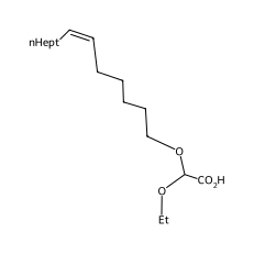 CCCCCCC/C=C\CCCCCOC(OCC)C(=O)O